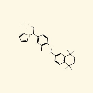 Cc1cc(C(CC(=O)O)n2cccc2)ccc1OCc1ccc2c(c1)C(C)(C)CCC2(C)C